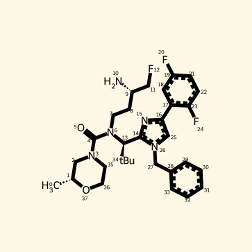 C[C@@H]1CN(C(=O)N(CC[C@H](N)CF)[C@@H](c2nc(-c3cc(F)ccc3F)cn2Cc2ccccc2)C(C)(C)C)CCO1